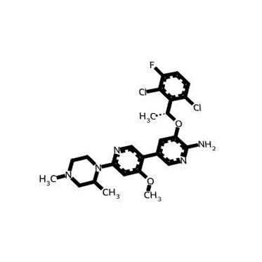 COc1cc(N2CCN(C)CC2C)ncc1-c1cnc(N)c(O[C@H](C)c2c(Cl)ccc(F)c2Cl)c1